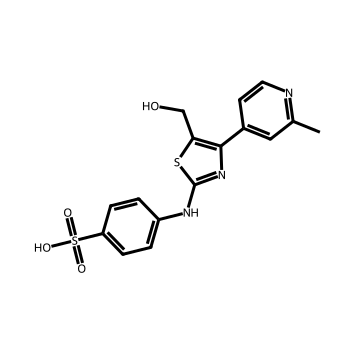 Cc1cc(-c2nc(Nc3ccc(S(=O)(=O)O)cc3)sc2CO)ccn1